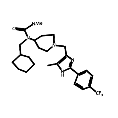 CNC(=O)N(CC1CCCCC1)C1CCN(Cc2nc(-c3ccc(C(F)(F)F)cc3)[nH]c2C)CC1